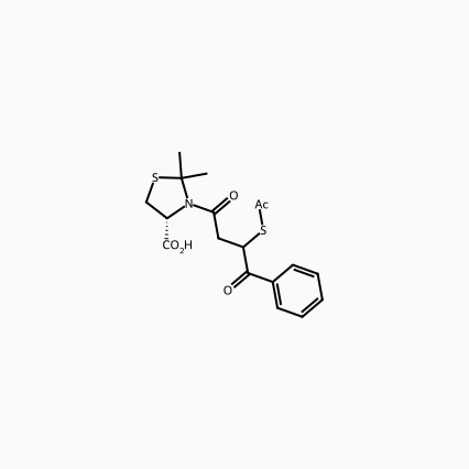 CC(=O)SC(CC(=O)N1[C@H](C(=O)O)CSC1(C)C)C(=O)c1ccccc1